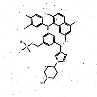 CC(C)(C)N1CCC(n2cc([C@@H](Nc3cc(Cl)c4ncc(C#N)c(Nc5ccc(F)c(Cl)c5)c4c3)c3cccc(CO[Si](C)(C)C(C)(C)C)c3)nn2)CC1